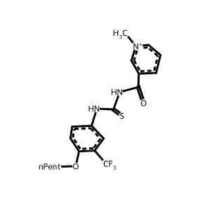 CCCCCOc1ccc(NC(=S)NC(=O)c2ccc[n+](C)c2)cc1C(F)(F)F